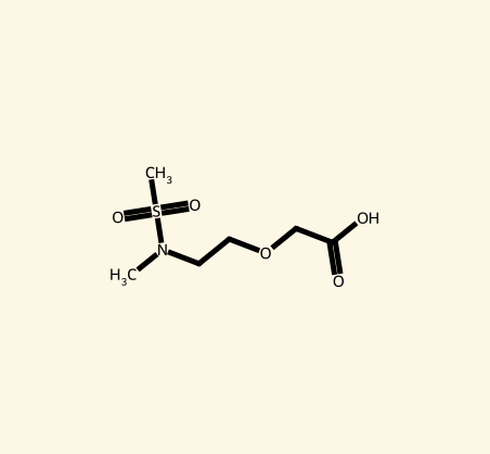 CN(CCOCC(=O)O)S(C)(=O)=O